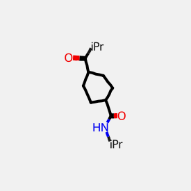 CC(C)NC(=O)C1CCC(C(=O)C(C)C)CC1